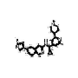 CN1CCC(c2cc(C(Nc3cc4cc(-c5cnn(C)c5)ccc4cn3)=C3CC3)ccn2)CC1